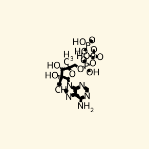 C#C[C@]1(O)C(n2cnc3c(N)ncnc32)O[C@](C)(COP(=O)(O)OP(=O)(O)OP(=O)(O)O)[C@H]1O